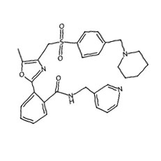 Cc1oc(-c2ccccc2C(=O)NCc2cccnc2)nc1CS(=O)(=O)c1ccc(CN2CCCCC2)cc1